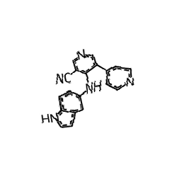 N#Cc1cncc(-c2ccncc2)c1Nc1ccc2[nH]ccc2c1